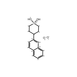 [Cl-].[Cl-].[OH][Ti+2]1([OH])[CH2]CC(c2ccc3ccccc3n2)C[CH2]1